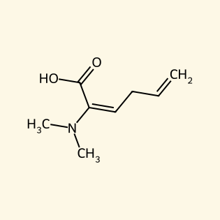 C=CC/C=C(\C(=O)O)N(C)C